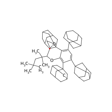 CC(C)(C)CC(C)(C)C(Oc1c(C23CC4CC(CC(C4)C2)C3)c(C23CC4CC(CC(C4)C2)C3)cc(C23CC4CC(CC(C4)C2)C3)c1C12CC3CC(CC(C3)C1)C2)C1CO1